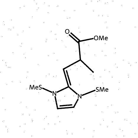 COC(=O)C(C)C=C1N(SC)C=CN1SC